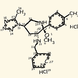 CO[C@]1(c2ccc(C)cc2)NCC(n2nnnc2C)C[C@H]1NCc1ccccc1.Cl.Cl